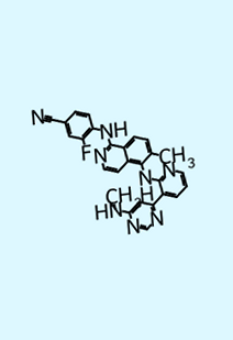 CNc1cc(-c2cccnc2Nc2c(C)ccc3c(Nc4ccc(C#N)cc4F)nccc23)ncn1